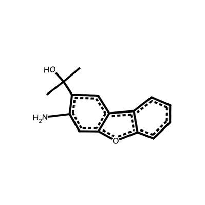 CC(C)(O)c1cc2c(cc1N)oc1ccccc12